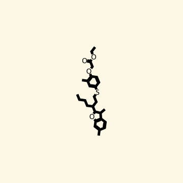 CCCCC(CCSc1ccc(OCC(=O)OCC)c(C)c1)C1Oc2cc(C)ccc2C1C